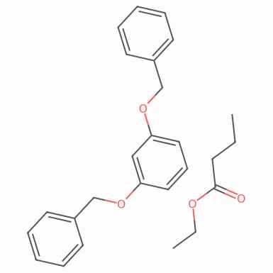 CCCC(=O)OCC.c1ccc(COc2cccc(OCc3ccccc3)c2)cc1